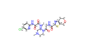 CN1CCN(C(=O)[C@H](CNC(=O)C(=O)Nc2ccc(Cl)cn2)NC(=O)c2nc3c(s2)COCC3)CC1